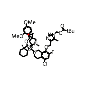 COc1ccc(COC(=O)[C@@]2(C)CCCC[C@H]2C(=O)N2CCc3c(Cl)cc(F)c(OCc4nnn(COC(=O)C(C)(C)C)c4C)c3[C@H]2CN2CC3(CC3)CC2=O)c(OC)c1